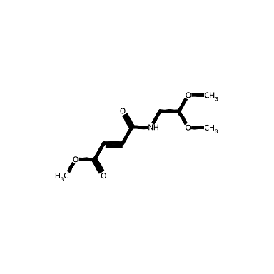 COC(=O)C=CC(=O)NCC(OC)OC